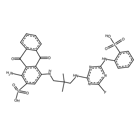 CC(C)(CNc1nc(F)nc(Nc2ccccc2S(=O)(=O)O)n1)CNc1cc(S(=O)(=O)O)c(N)c2c1C(=O)c1ccccc1C2=O